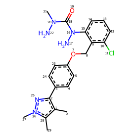 Cc1c(-c2ccc(OCc3c(Cl)cccc3N(N)C(=O)N(C)N)cc2)nn(C)c1C